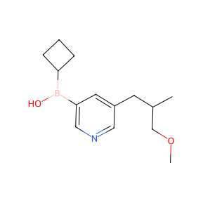 COCC(C)Cc1cncc(B(O)C2CCC2)c1